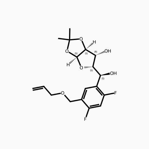 C=CCOCc1cc([C@H](O)[C@@H]2O[C@H]3OC(C)(C)O[C@H]3[C@@H]2O)c(F)cc1F